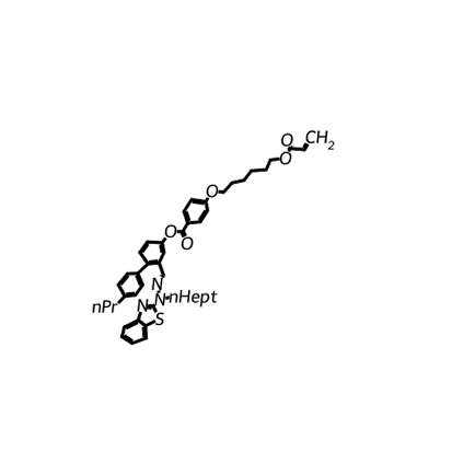 C=CC(=O)OCCCCCCOc1ccc(C(=O)Oc2ccc(-c3ccc(CCC)cc3)c(/C=N/N(CCCCCCC)c3nc4ccccc4s3)c2)cc1